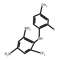 Cc1ccc(Nc2c([N+](=O)[O-])cc([N+](=O)[O-])cc2C(F)(F)F)c(F)c1